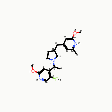 COc1cc(C(C)N2CCC(Cc3cc(C)nc(OC)c3)C2)c(F)cn1